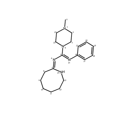 CN1CCN(C(N=C2CCCCCCN2)=Nc2ccccc2)CC1